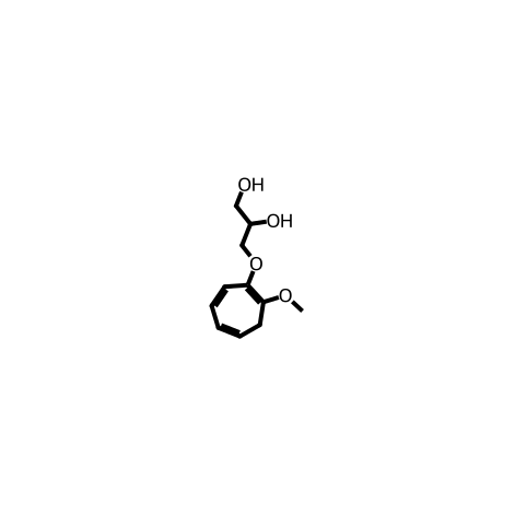 COC1=C(OCC(O)CO)C=CC=CC1